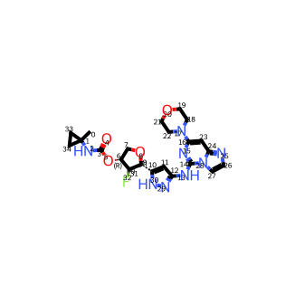 CC1(NC(=O)O[C@@H]2CO[C@H](c3cc(Nc4nc(N5CCOCC5)cc5nccn45)n[nH]3)[C@H]2F)CC1